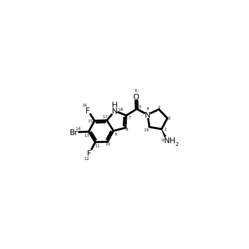 N[C@@H]1CCN(C(=O)c2cc3cc(F)c(Br)c(F)c3[nH]2)C1